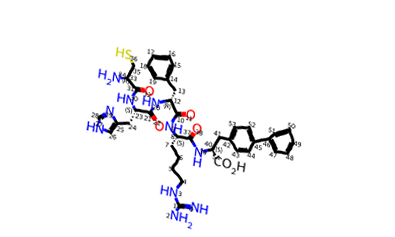 N=C(N)NCCCC[C@H](NC(=O)[C@@H](Cc1ccccc1)NC(=O)[C@H](Cc1c[nH]cn1)NC(=O)[C@@H](N)CS)C(=O)N[C@@H](Cc1ccc(-c2ccccc2)cc1)C(=O)O